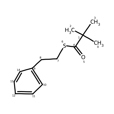 CC(C)(C)C(=O)SCCc1ccccc1